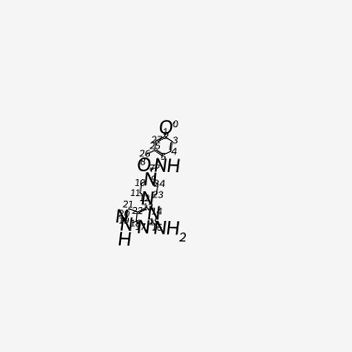 COc1ccc(NC(=O)N2CCN(c3nc(N)nc4[nH]ncc34)CC2)c(C)c1